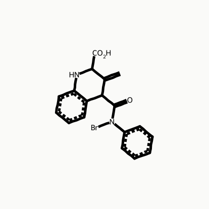 C=C1C(C(=O)O)Nc2ccccc2C1C(=O)N(Br)c1ccccc1